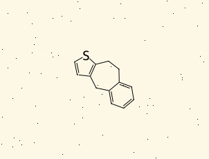 c1ccc2c(c1)CCc1sccc1C2